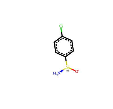 N[S@+]([O-])c1ccc(Cl)cc1